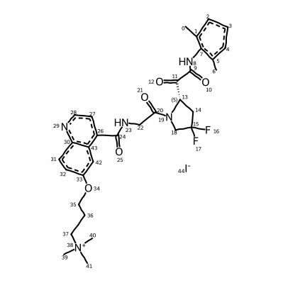 Cc1cccc(C)c1NC(=O)C(=O)[C@@H]1CC(F)(F)CN1C(=O)CNC(=O)c1ccnc2ccc(OCCC[N+](C)(C)C)cc12.[I-]